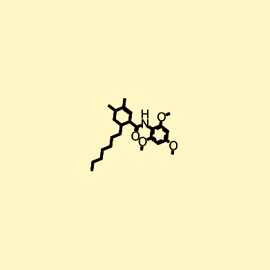 CCCCCCCC1CC(C)C(C)=CC1C(=O)Nc1c(OC)cc(OC)cc1OC